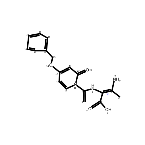 C=C(N/C(C(=O)O)=C(/C)N)n1ccc(OCc2ccccc2)cc1=O